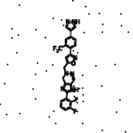 Fc1cccc(-c2nc3c([nH]2)C=NN(Cc2cc(-c4ccc(-c5cn[nH]c5)cc4C(F)(F)F)no2)C3)c1F